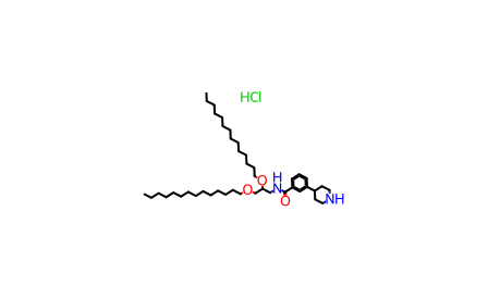 CCCCCCCCCCCCCCOCC(CNC(=O)c1cccc(C2CCNCC2)c1)OCCCCCCCCCCCCCC.Cl